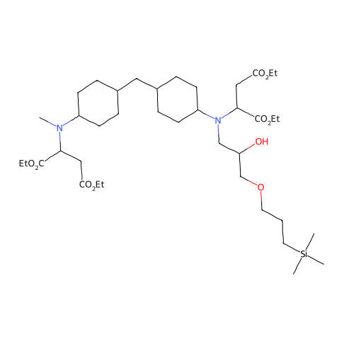 CCOC(=O)CC(C(=O)OCC)N(C)C1CCC(CC2CCC(N(CC(O)COCCC[Si](C)(C)C)C(CC(=O)OCC)C(=O)OCC)CC2)CC1